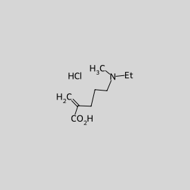 C=C(CCCN(C)CC)C(=O)O.Cl